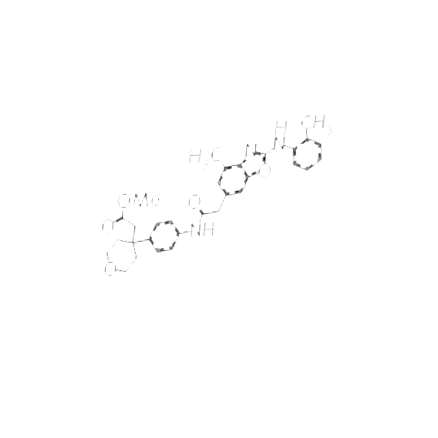 COC(=O)CC1(c2ccc(NC(=O)Cc3cc(C)c4nc(Nc5ccccc5C)oc4c3)cc2)CCOCC1